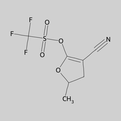 CC1CC(C#N)=C(OS(=O)(=O)C(F)(F)F)O1